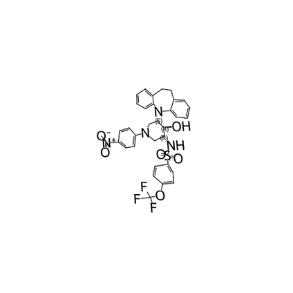 O=[N+]([O-])c1ccc(N2C[C@@H](NS(=O)(=O)c3ccc(OC(F)(F)F)cc3)[C@H](O)[C@@H](N3c4ccccc4CCc4ccccc43)C2)cc1